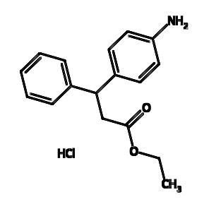 CCOC(=O)CC(c1ccccc1)c1ccc(N)cc1.Cl